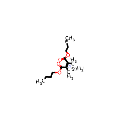 CCCCOC(=O)/C(C)=C(/C)C(=O)OCCCC.[SnH2]